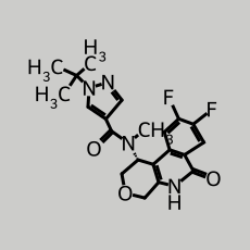 CN(C(=O)c1cnn(C(C)(C)C)c1)[C@H]1COCc2[nH]c(=O)c3cc(F)c(F)cc3c21